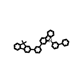 CC1(C)c2ccccc2-c2ccc(-c3cccc(-c4ccc5c6ccccc6n(-c6cccc(-c7ccccc7)c6)c5c4)c3)cc21